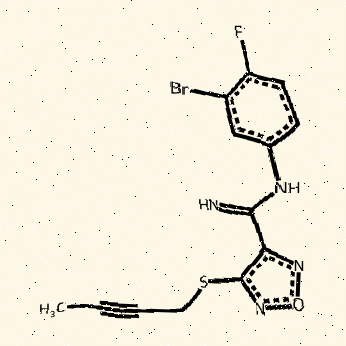 CC#CCSc1nonc1C(=N)Nc1ccc(F)c(Br)c1